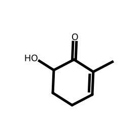 CC1=CCCC(O)C1=O